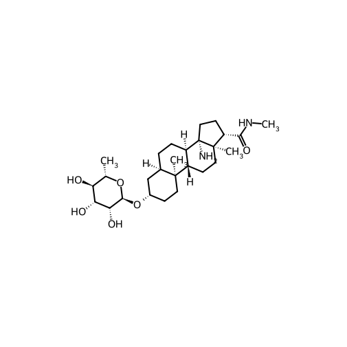 CNC(=O)[C@H]1CC[C@]2(N)[C@@H]3CC[C@@H]4C[C@@H](O[C@@H]5O[C@@H](C)[C@H](O)[C@@H](O)[C@H]5O)CC[C@]4(C)[C@H]3CC[C@]12C